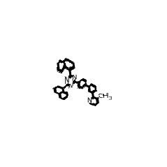 Cc1cccnc1-c1cccc(-c2ccc(-c3nc(-c4cccc5ccccc45)nc(-c4cccc5ccccc45)n3)cc2)c1